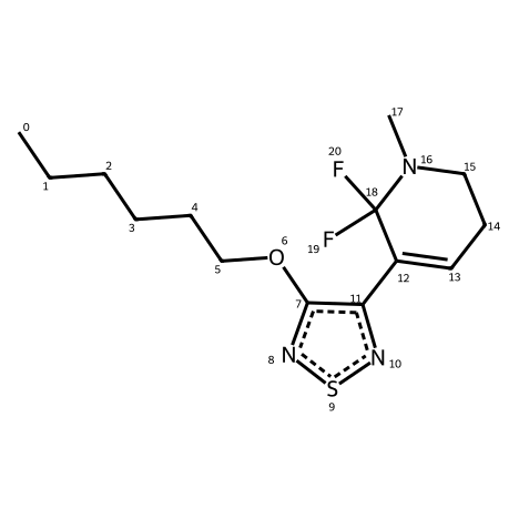 CCCCCCOc1nsnc1C1=CCCN(C)C1(F)F